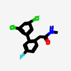 CNC(=O)Cc1ccc(F)cc1-c1cc(Cl)cc(Cl)c1